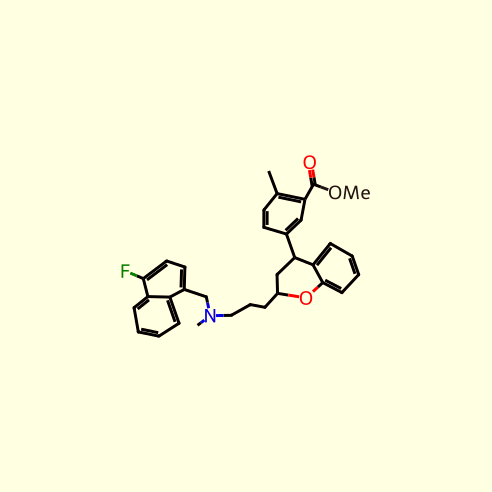 COC(=O)c1cc(C2CC(CCCN(C)Cc3ccc(F)c4ccccc34)Oc3ccccc32)ccc1C